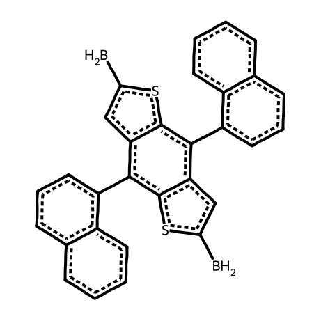 Bc1cc2c(-c3cccc4ccccc34)c3sc(B)cc3c(-c3cccc4ccccc34)c2s1